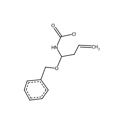 C=CCC(NC(=O)Cl)OCc1ccccc1